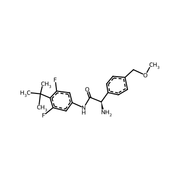 COCc1ccc([C@@H](N)C(=O)Nc2cc(F)c(C(C)(C)C)c(F)c2)cc1